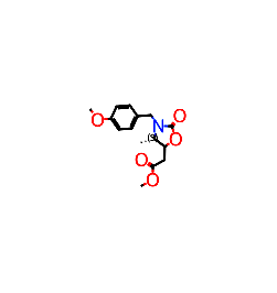 COC(=O)CC1OC(=O)N(Cc2ccc(OC)cc2)[C@H]1C